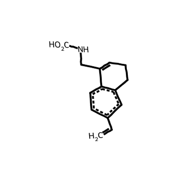 C=Cc1ccc2c(c1)CCC=C2CNC(=O)O